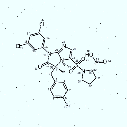 C[C@@]1(Cc2ccc(Br)cc2)C(=O)N(c2cc(Cl)cc(Cl)c2)c2ncc(S(=O)(=O)N3CCC[C@H]3C(=O)O)n21